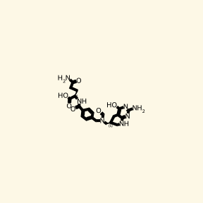 NC(=O)CC[C@@H](NC(=O)c1ccc(CN(C=O)C[C@@H]2CNc3nc(N)nc(O)c3C2)cc1)C(=O)O